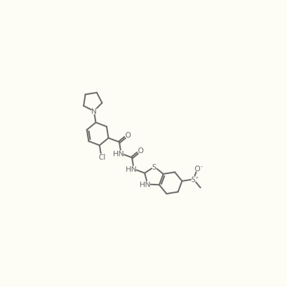 C[S+]([O-])C1CCC2=C(C1)SC(NC(=O)NC(=O)C1CC(N3CCCC3)C=CC1Cl)N2